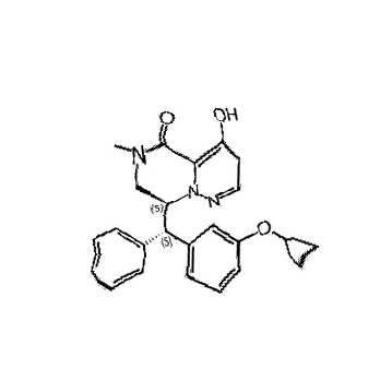 CN1C[C@H]([C@@H](c2ccccc2)c2cccc(OC3CC3)c2)N2N=CCC(O)=C2C1=O